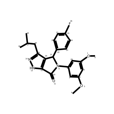 COc1cc(OC)cc(N2C(=O)c3[nH]nc(CC(C)C)c3C2c2ccc(F)cc2)c1